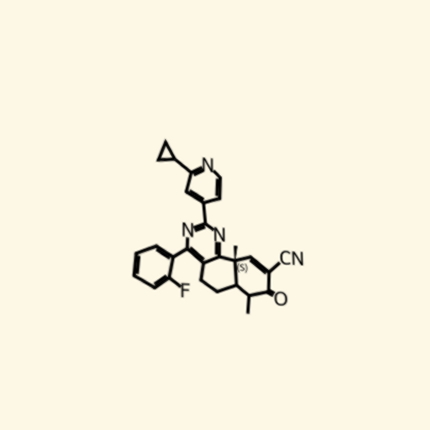 CC1C(=O)C(C#N)=C[C@@]2(C)c3nc(-c4ccnc(C5CC5)c4)nc(-c4ccccc4F)c3CCC12